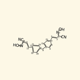 N#CC(C=Cc1ccc(Cc2ccc(C=CC(C#N)=NO)cc2)cc1)=NO